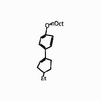 CCCCCCCCOc1ccc(C2=CCC(CC)CC2)cc1